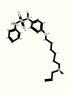 C=CCN(C)CCCCCCOc1ccc(N(C)S(=O)(=O)Nc2ccccc2)cc1